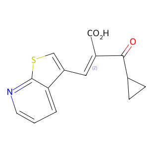 O=C(O)/C(=C\c1csc2ncccc12)C(=O)C1CC1